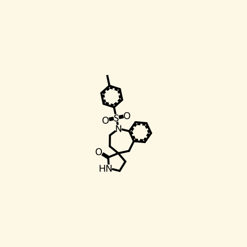 Cc1ccc(S(=O)(=O)N2CCC3(CCNC3=O)Cc3ccccc32)cc1